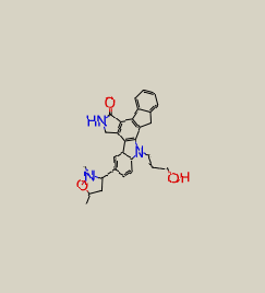 CC1CC(C2=CC3c4c5c(c6c(c4N(CCCO)C3C=C2)Cc2ccccc2-6)C(=O)NC5)N(C)O1